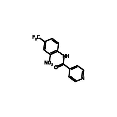 O=C(Nc1ccc(C(F)(F)F)cc1[N+](=O)[O-])c1ccncc1